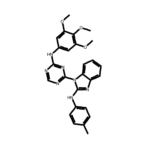 COc1cc(Nc2ncnc(-n3c(Nc4ccc(C)cc4)nc4ccccc43)n2)cc(OC)c1OC